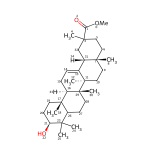 COC(=O)C1(C)CC[C@]2(C)CC[C@]3(C)C(=CC[C@@H]4[C@@]5(C)CC[C@H](O)C(C)(C)C5CC[C@]43C)[C@@H]2C1